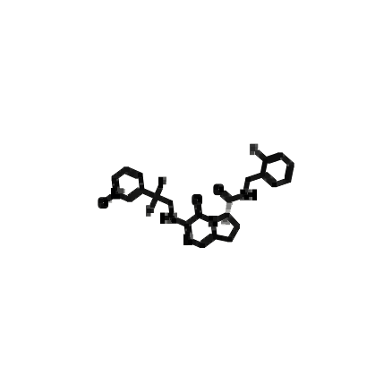 O=C(NCc1ccccc1F)[C@@H]1CCc2cnc(NCC(F)(F)c3ccc[n+]([O-])c3)c(=O)n21